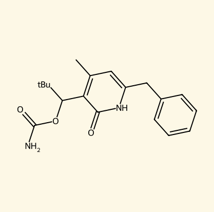 Cc1cc(Cc2ccccc2)[nH]c(=O)c1C(OC(N)=O)C(C)(C)C